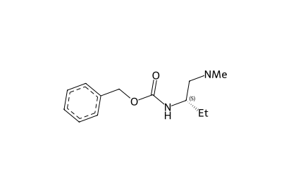 CC[C@@H](CNC)NC(=O)OCc1ccccc1